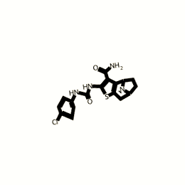 CN1C2CCC1c1c(sc(NC(=O)Nc3ccc(Cl)cc3)c1C(N)=O)C2